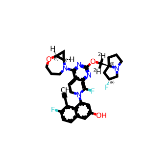 [2H]C([2H])(Oc1nc(N2CCCO[C@H]3C[C@H]32)c2c(n1)=C(F)N(c1cc(O)cc3ccc(F)c(C#C)c13)CC=2)[C@@]12CCCN1C[C@H](F)C2